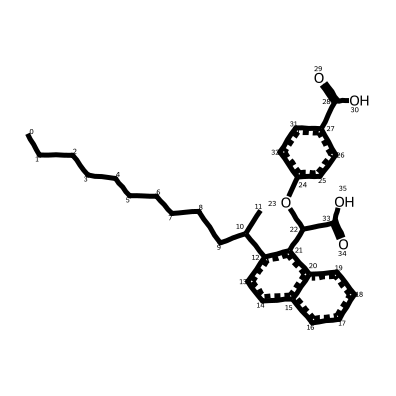 CCCCCCCCCCC(C)c1ccc2ccccc2c1C(Oc1ccc(C(=O)O)cc1)C(=O)O